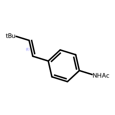 CC(=O)Nc1ccc(/C=C/C(C)(C)C)cc1